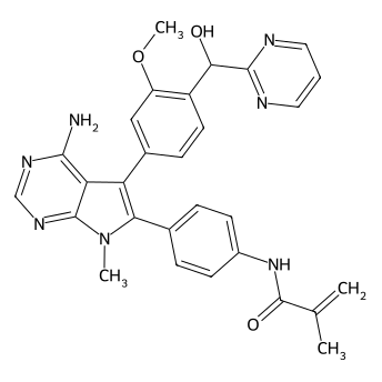 C=C(C)C(=O)Nc1ccc(-c2c(-c3ccc(C(O)c4ncccn4)c(OC)c3)c3c(N)ncnc3n2C)cc1